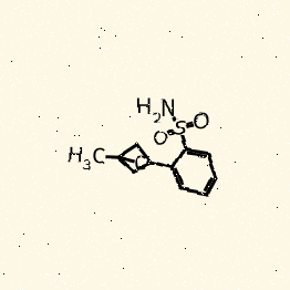 CC12CC(c3ccccc3S(N)(=O)=O)(C1)C2